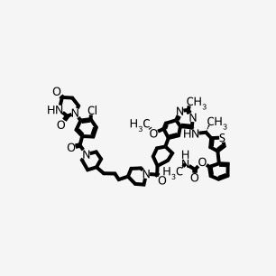 CNC(=O)Oc1ccccc1-c1csc([C@@H](C)Nc2nc(C)nc3cc(OC)c(C4CCC(C(=O)N5CCC(CCCC6CCN(C(=O)c7ccc(Cl)c(N8CCC(=O)NC8=O)c7)CC6)CC5)CC4)cc23)c1